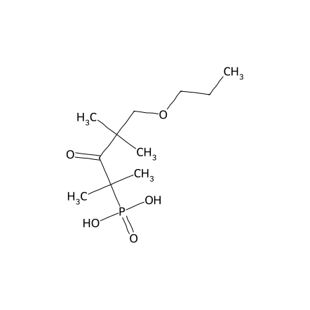 CCCOCC(C)(C)C(=O)C(C)(C)P(=O)(O)O